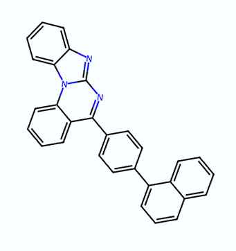 c1ccc2c(-c3ccc(-c4nc5nc6ccccc6n5c5ccccc45)cc3)cccc2c1